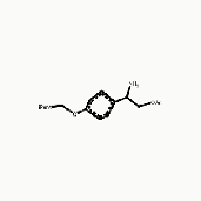 CCCC(C)COc1ccc(C(N)COC(C)=O)cc1